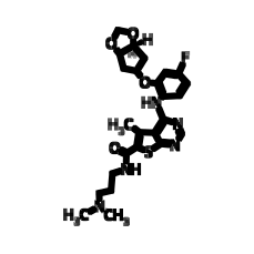 Cc1c(C(=O)NCCCN(C)C)sc2ncnc(Nc3ccc(F)cc3OC3CC4OCO[C@@H]4C3)c12